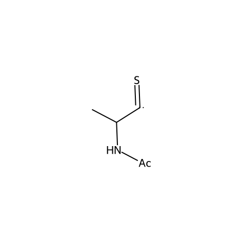 CC(=O)NC(C)[C]=S